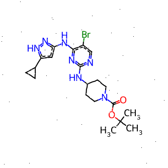 CC(C)(C)OC(=O)N1CCC(Nc2ncc(Br)c(Nc3cc(C4CC4)[nH]n3)n2)CC1